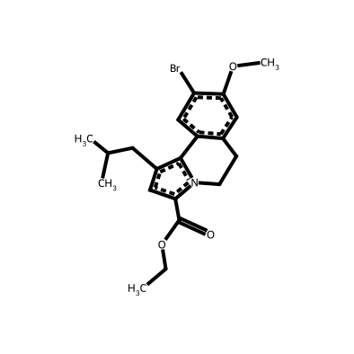 CCOC(=O)c1cc(CC(C)C)c2n1CCc1cc(OC)c(Br)cc1-2